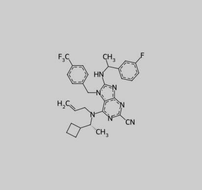 C=CCN(c1nc(C#N)nc2nc(NC(C)c3cccc(F)c3)n(Cc3ccc(C(F)(F)F)cc3)c12)[C@H](C)C1CCC1